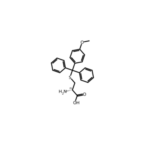 COc1ccc(C(SC[C@@H](N)C(=O)O)(c2ccccc2)c2ccccc2)cc1